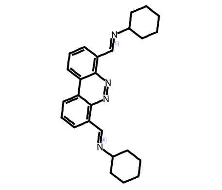 C(=N\C1CCCCC1)/c1cccc2c1nnc1c(/C=N/C3CCCCC3)cccc12